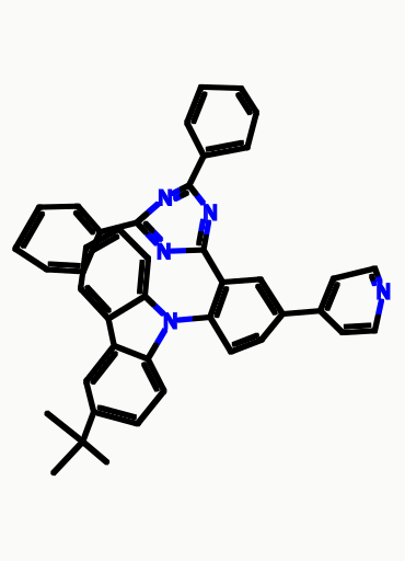 CC(C)(C)c1ccc2c(c1)c1ccccc1n2-c1ccc(-c2ccncc2)cc1-c1nc(-c2ccccc2)nc(-c2ccccc2)n1